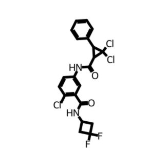 O=C(NC1CC(F)(F)C1)c1cc(NC(=O)C2C(c3ccccc3)C2(Cl)Cl)ccc1Cl